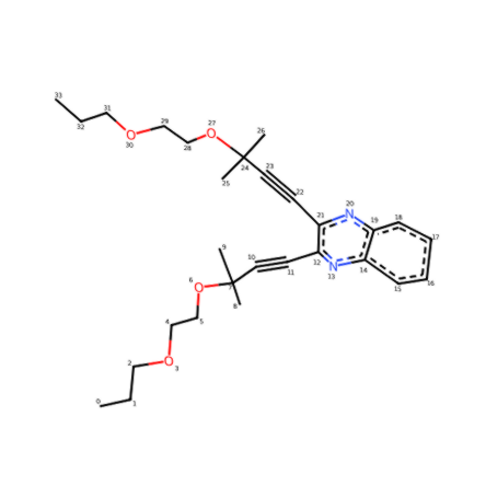 CCCOCCOC(C)(C)C#Cc1nc2ccccc2nc1C#CC(C)(C)OCCOCCC